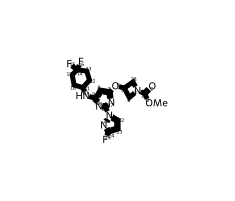 COC(=O)N1CC(Oc2cc(NC3CCC(F)(F)CC3)nc(-n3ccc(F)n3)n2)C1